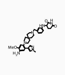 COc1cc(N2CCC3(CCN(Cc4cccc(NC5CCC(=O)NC5=O)c4)CC3)CC2)c(-c2cnn(C)c2)cc1N